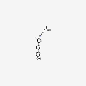 CC(O)CCC/C=C/c1ccc(-c2ccc(-c3ccc(O)cc3)cc2)cc1F